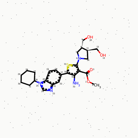 COC(=O)c1c(N2C[C@H](CO)[C@@H](CO)C2)sc(-c2ccc3c(c2)ncn3C2CCCCC2)c1N